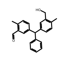 Cc1ccc(C(c2ccccc2)c2ccc(C)c(CO)c2)cc1C=O